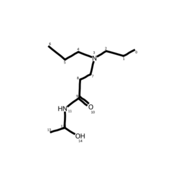 CCCN(CCC)CCC(=O)NC(C)O